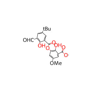 COc1cc(OC(=O)c2cc(C(C)(C)C)cc(C=O)c2O)c(O)c(C([O])=O)c1